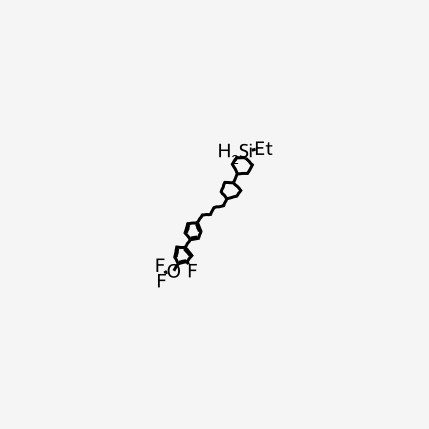 CC[SiH2]C1CCC(C2CCC(CCCCc3ccc(-c4ccc(OC(F)F)c(F)c4)cc3)CC2)CC1